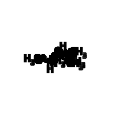 COc1cccc(CCNc2nccc(Oc3ccc(NC(=O)Nc4cc(C(C)(C)C)ccc4OC)c4ccccc34)n2)c1